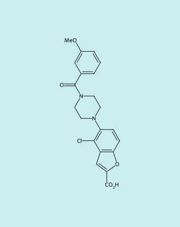 COc1cccc(C(=O)N2CCN(c3ccc4oc(C(=O)O)cc4c3Cl)CC2)c1